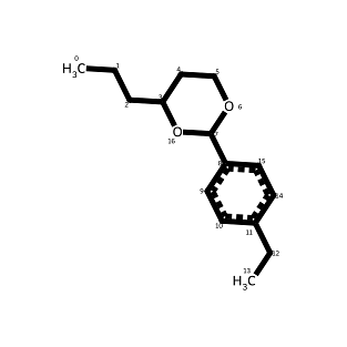 CCCC1CCOC(c2ccc(CC)cc2)O1